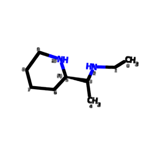 CCNC(C)[C@H]1CCCCN1